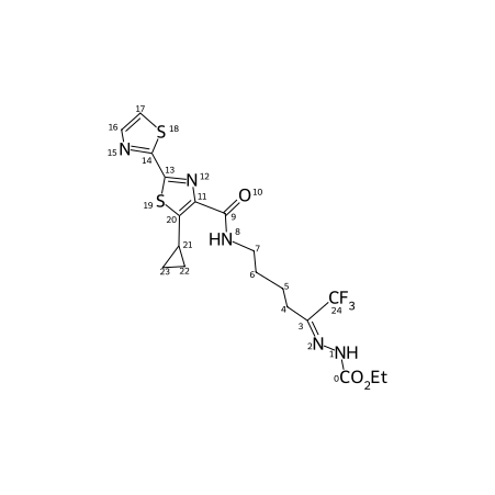 CCOC(=O)N/N=C(/CCCCNC(=O)c1nc(-c2nccs2)sc1C1CC1)C(F)(F)F